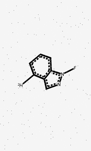 [2H]c1cccc2c1cnn2F